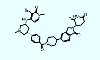 CN1C[C@H](Nc2ccn(C)c(=O)c2Br)C[C@H](c2ccc(C(=O)N3CCC(c4ccc5c(c4)CN(C4CCC(=O)NC4=O)C5=O)CC3)cc2)C1